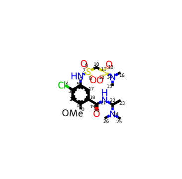 COc1cc(Cl)c(NS(=O)(=O)CS(=O)(=O)N(C)C)cc1C(=O)NC(C)N(C)C